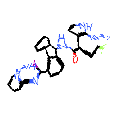 Nc1[nH]ccc1/C(=C\CF)C(=O)NC1c2ccccc2-c2c(C(I)/N=c3/ccccn3N)cccc21